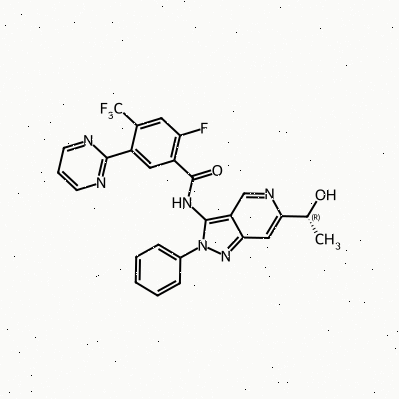 C[C@@H](O)c1cc2nn(-c3ccccc3)c(NC(=O)c3cc(-c4ncccn4)c(C(F)(F)F)cc3F)c2cn1